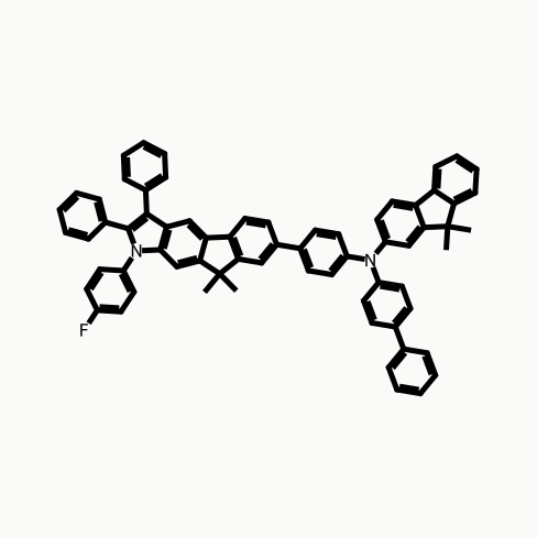 CC1(C)c2ccccc2-c2ccc(N(c3ccc(-c4ccccc4)cc3)c3ccc(-c4ccc5c(c4)C(C)(C)c4cc6c(cc4-5)c(-c4ccccc4)c(-c4ccccc4)n6-c4ccc(F)cc4)cc3)cc21